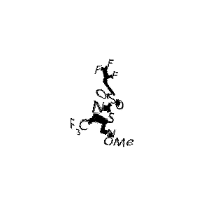 CO/N=C/c1sc(S(=O)(=O)CCC(F)=C(F)F)nc1C(F)(F)F